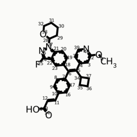 COc1cc(C(=C(c2ccc(C=CC(=O)O)cc2)c2ccc3c(c2)c(F)nn3C2CCCCO2)C2CCC2)ccn1